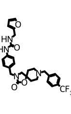 O=C(NCc1ccco1)Nc1ccc(CN2CC3(CCN(Cc4ccc(C(F)(F)F)cc4)CC3)OC2=O)cc1